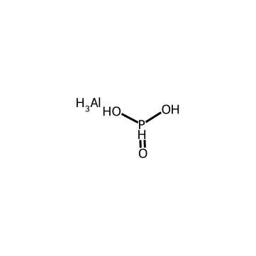 O=[PH](O)O.[AlH3]